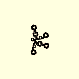 O=C(C(COCc1ccccc1)N1CCN(c2ccccc2)CC1)C(COCc1ccccc1)N1CCN(c2ccccc2)CC1